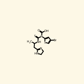 CC(CC1=NCCN1)NC(=S)N(C(=O)O)c1cc(Br)cs1